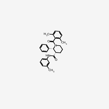 Cc1cccc(NC(=O)[C@H]2CCCN(C(=O)c3c(C)cccc3C)[C@H]2c2ccccc2)c1